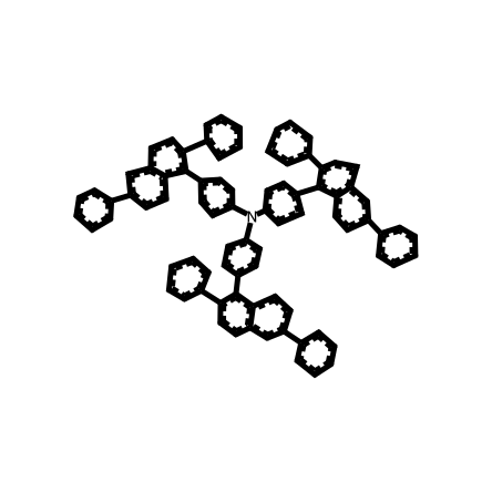 c1ccc(-c2ccc3c(-c4ccc(N(c5ccc(-c6c(-c7ccccc7)ccc7cc(-c8ccccc8)ccc67)cc5)c5ccc(-c6c(-c7ccccc7)ccc7cc(-c8ccccc8)ccc67)cc5)cc4)c(-c4ccccc4)ccc3c2)cc1